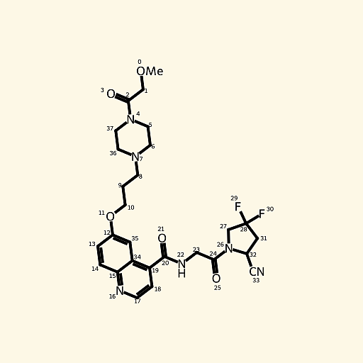 COCC(=O)N1CCN(CCCOc2ccc3nccc(C(=O)NCC(=O)N4CC(F)(F)CC4C#N)c3c2)CC1